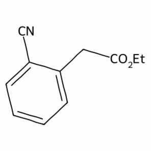 CCOC(=O)Cc1ccccc1C#N